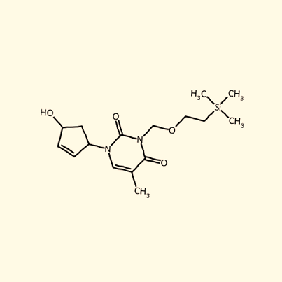 Cc1cn(C2C=CC(O)C2)c(=O)n(COCC[Si](C)(C)C)c1=O